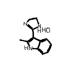 Cc1[nH]c2ccccc2c1C1=NCCN1.Cl